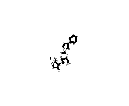 CC(C)CC(OC(=O)n1ccc(-c2ccccc2)c1)C(=O)NC1C(=O)COC1C